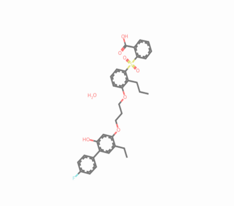 CCCc1c(OCCCOc2cc(O)c(-c3ccc(F)cc3)cc2CC)cccc1S(=O)(=O)c1ccccc1C(=O)O.O